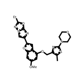 CCc1nn2cc(-c3cc4c(OCc5nc(N6CCOCC6)sc5C)cc(OC)cc4o3)nc2o1